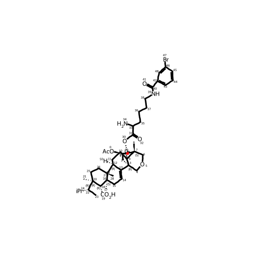 CC(=O)O[C@@H]1C[C@@]23COC[C@](C)([C@@H]2CC[C@H]2C3=CC[C@@]3(C)[C@H](C(=O)O)[C@@](C)([C@H](C)C(C)C)CC[C@]23C)[C@H]1OC(=O)C(N)CCCCNC(=O)c1cccc(Br)c1